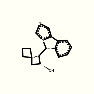 O[C@@H]1CC2(CCC2)[C@@H]1[C@H]1c2ccccc2-c2cncn21